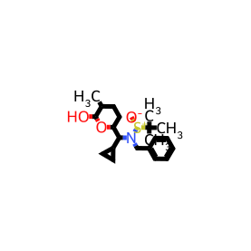 CC1CCC(C(C2CC2)N(Cc2ccccc2)[S+]([O-])C(C)(C)C)OC1O